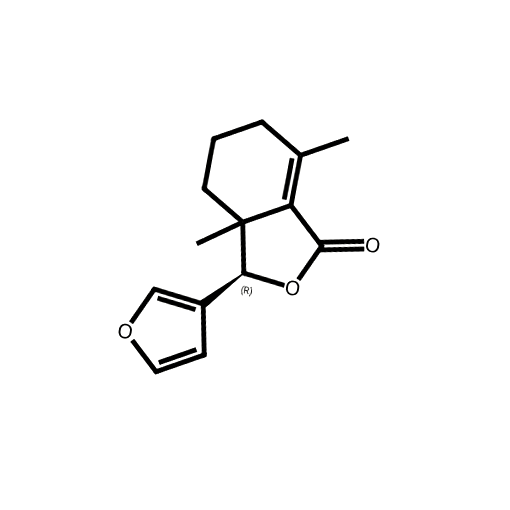 CC1=C2C(=O)O[C@@H](c3ccoc3)C2(C)CCC1